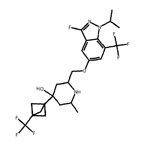 CC1CC(O)(C23CC(C(F)(F)F)(C2)C3)CC(COc2cc(C(F)(F)F)c3c(c2)c(F)nn3C(C)C)N1